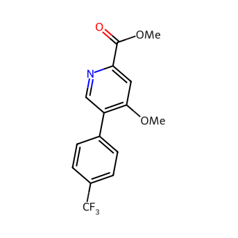 COC(=O)c1cc(OC)c(-c2ccc(C(F)(F)F)cc2)cn1